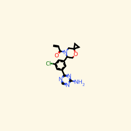 C=CC(=O)N1CC2(CC2)OCC1c1cc(Cl)cc(-c2ncnc(N)n2)c1